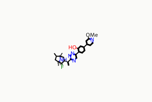 C=C(c1ncc(-c2ccc(-c3ccnc(OC)c3)cc2O)nn1)[C@@H]1C[C@]2(C)N[C@@](C)(CC2C)[C@@H]1F